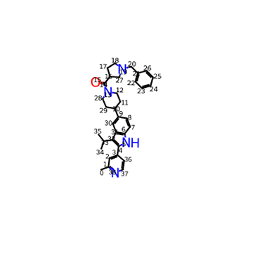 Cc1cc(-c2[nH]c3ccc(C4CCN(C(=O)C5CCN(Cc6ccccc6)C5)CC4)cc3c2C(C)C)ccn1